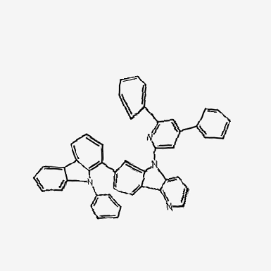 c1ccc(-c2cc(-c3ccccc3)nc(-n3c4cc(-c5cccc6c7ccccc7n(-c7ccccc7)c56)ccc4c4ncccc43)c2)cc1